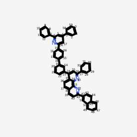 c1ccc(-c2cc(-c3ccccc3)nc(-c3ccc(-c4cccc(-c5cc(-c6ccccc6)nc6c5ccc5ccc(-c7ccc8ccccc8c7)nc56)c4)cc3)c2)cc1